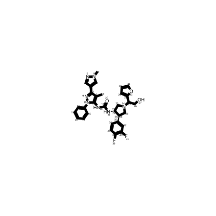 Cc1c(-c2cnn(C)c2)nn(-c2ccccc2)c1NC(=O)N[C@@H]1CN(C(CO)c2ccco2)C[C@H]1c1ccc(F)c(F)c1